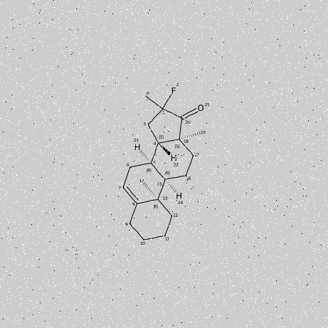 CC1(F)C[C@H]2[C@@H]3CC=C4CCCC[C@]4(C)[C@@H]3CC[C@]2(C)C1=O